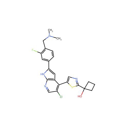 CN(C)Cc1ccc(-c2cc3c(-c4cnc(C5(O)CCC5)s4)c(Cl)cnc3[nH]2)cc1F